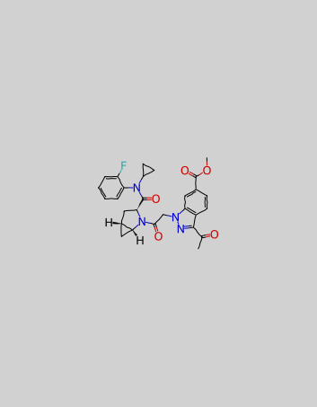 COC(=O)c1ccc2c(C(C)=O)nn(CC(=O)N3[C@@H]4C[C@@H]4C[C@H]3C(=O)N(c3ccccc3F)C3CC3)c2c1